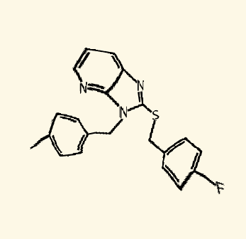 Cc1ccc(Cn2c(SCc3ccc(F)cc3)nc3cccnc32)cc1